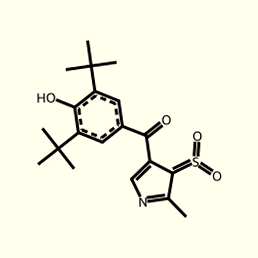 CC1=NC=C(C(=O)c2cc(C(C)(C)C)c(O)c(C(C)(C)C)c2)C1=S(=O)=O